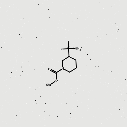 BC(C)(C)C1CCCN(C(=O)OC(C)(C)C)C1